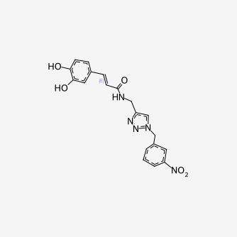 O=C(/C=C/c1ccc(O)c(O)c1)NCc1cn(Cc2cccc([N+](=O)[O-])c2)nn1